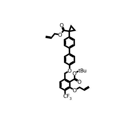 C=CCOC(=O)C1(c2ccc(-c3ccc(OCc4ccc(C(F)(F)F)c(OCC=C)c4C(=O)OC(C)(C)C)cc3)cc2)CC1